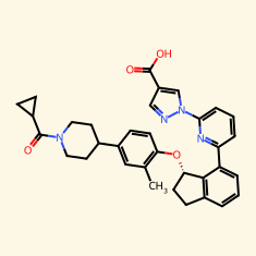 Cc1cc(C2CCN(C(=O)C3CC3)CC2)ccc1O[C@H]1CCc2cccc(-c3cccc(-n4cc(C(=O)O)cn4)n3)c21